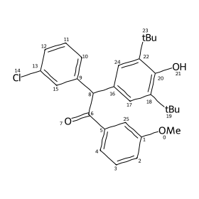 COc1cccc(C(=O)C(c2cccc(Cl)c2)c2cc(C(C)(C)C)c(O)c(C(C)(C)C)c2)c1